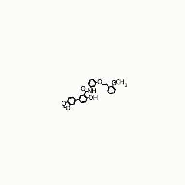 COc1ccccc1CCOc1cccc(NC(=O)c2cc(-c3ccc4c(c3)OCO4)ccc2O)c1